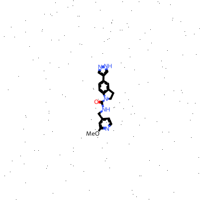 COc1cc(CNC(=O)N2CCc3cc(-c4cn[nH]c4)ccc32)ccn1